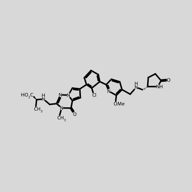 COc1nc(-c2cccc(-c3cc4c(=O)n(C)c(CN[C@@H](C)C(=O)O)nn4c3)c2Cl)ccc1CNC[C@@H]1CCC(=O)N1